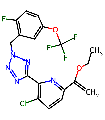 C=C(OCC)c1ccc(Cl)c(-c2nnn(Cc3cc(OC(F)(F)F)ccc3F)n2)n1